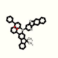 CC1(C)c2ccccc2-c2cc(-c3ccccc3)c(N(c3ccc(-c4ccccc4)cc3)c3cnc4c(c3)oc3cc5ccccc5cc34)cc21